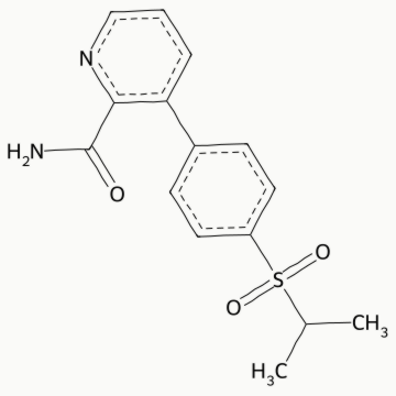 CC(C)S(=O)(=O)c1ccc(-c2cccnc2C(N)=O)cc1